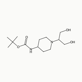 CC(C)(C)OC(=O)NC1CCN(C(CO)CO)CC1